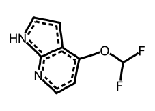 FC(F)Oc1ccnc2[nH]ccc12